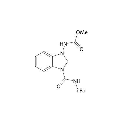 CCCCNC(=O)N1CN(NC(=O)OC)c2ccccc21